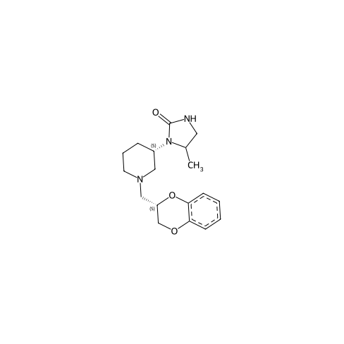 CC1CNC(=O)N1[C@H]1CCCN(C[C@H]2COc3ccccc3O2)C1